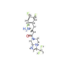 CC(F)(F)c1cnc2n1CCN(C(=O)C[C@H](N)Cc1cc(F)c(F)cc1F)C2